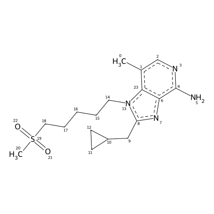 Cc1cnc(N)c2nc(CC3CC3)n(CCCCCS(C)(=O)=O)c12